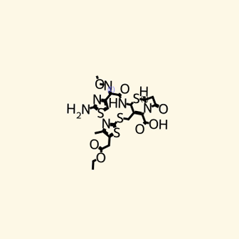 CCOC(=O)Cc1sc(SCC2=C(C(=O)O)N3C(=O)C[C@H]3SC2NC(=O)/C(=N/OC)c2csc(N)n2)nc1C